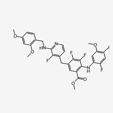 COC(=O)c1cc(Cc2ccnc(NCc3ccc(OC)cc3OC)c2F)c(F)c(F)c1Nc1cc(OC)c(I)cc1F